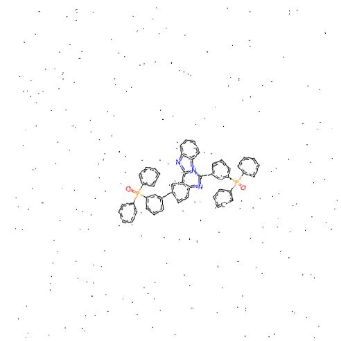 O=P(c1ccccc1)(c1ccccc1)c1cccc(-c2ccc3nc(-c4cccc(P(=O)(c5ccccc5)c5ccccc5)c4)n4c5ccccc5nc4c3c2)c1